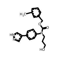 Cc1cccc(COC(=O)N(CCCO)c2ccc(-c3cn[nH]c3)cc2)c1